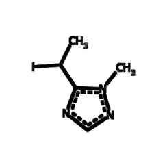 CC(I)c1ncnn1C